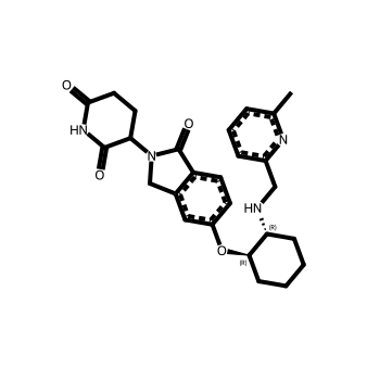 Cc1cccc(CN[C@@H]2CCCC[C@H]2Oc2ccc3c(c2)CN(C2CCC(=O)NC2=O)C3=O)n1